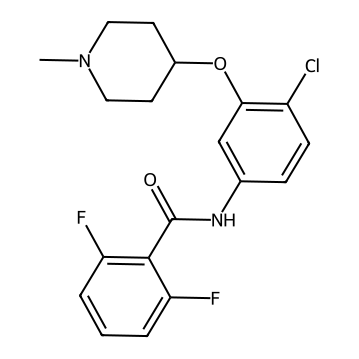 CN1CCC(Oc2cc(NC(=O)c3c(F)cccc3F)ccc2Cl)CC1